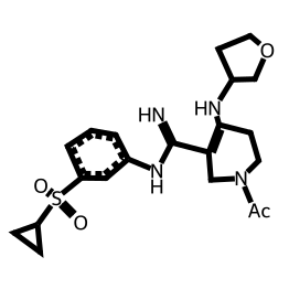 CC(=O)N1CCC(NC2CCOC2)=C(C(=N)Nc2cccc(S(=O)(=O)C3CC3)c2)C1